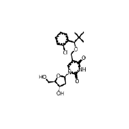 CC(C)(C)C(OCc1cn([C@H]2C[C@H](O)[C@@H](CO)O2)c(=O)[nH]c1=O)c1ccccc1Cl